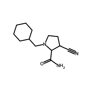 N#C[C]1CCN(CC2CCCCC2)C1C(N)=O